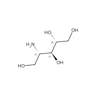 N[C@@H](CO)[C@H](O)[C@H](O)CO